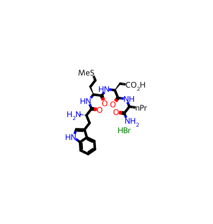 Br.CCCC(NC(=O)[C@H](CC(=O)O)NC(=O)[C@H](CCSC)NC(=O)[C@@H](N)Cc1c[nH]c2ccccc12)C(N)=O